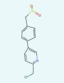 O=[SH](=O)Cc1ccc(-c2ccc(CCl)nc2)cc1